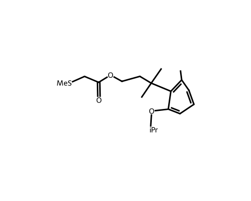 CSCC(=O)OCCC(C)(C)c1c(C)cccc1OC(C)C